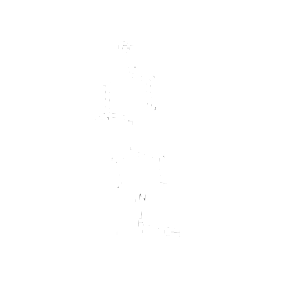 CB(O)N1CC=C(c2ccc(Br)cn2)CC1